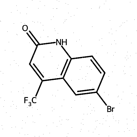 O=c1cc(C(F)(F)F)c2cc(Br)ccc2[nH]1